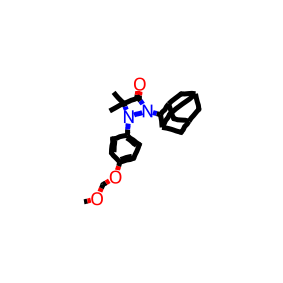 COCOc1ccc(N2N(C3C4CC5CC(C4)CC3C5)C(=O)C2(C)C)cc1